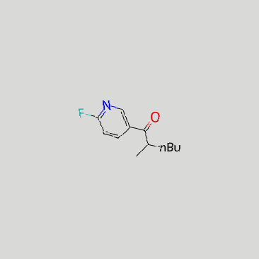 CCCCC(C)C(=O)c1ccc(F)nc1